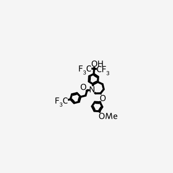 COc1cccc(O[C@H]2CCc3cc(C(O)(C(F)(F)F)C(F)(F)F)ccc3N(C(=O)Cc3ccc(C(F)(F)F)cc3)C2)c1